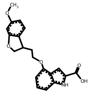 COc1ccc2c(c1)OCC2CCOc1cccc2[nH]c(C(=O)O)cc12